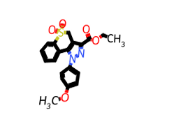 CCOC(=O)c1nn(-c2ccc(OC)cc2)c2c1CS(=O)(=O)c1ccccc1-2